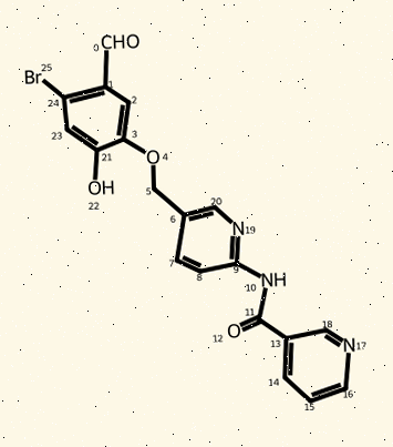 O=Cc1cc(OCc2ccc(NC(=O)c3cccnc3)nc2)c(O)cc1Br